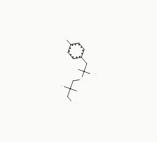 CC(C)(Cc1ccc(F)cc1)NCC(F)(F)CS(=O)(=O)O